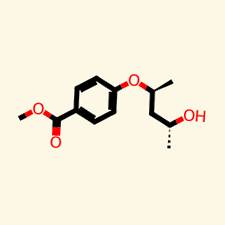 COC(=O)c1ccc(O[C@@H](C)C[C@@H](C)O)cc1